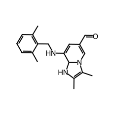 CC1=C(C)N2C=C(C=O)C=C(NCc3c(C)cccc3C)C2N1